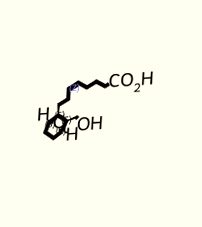 O=C(O)CCC/C=C\CC[C@H]1[C@@H](CO)[C@H]2CC[C@@H]1O2